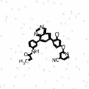 C=CC(=O)Nc1cccc(-c2cc(-c3ccc(Oc4cc(C#N)ccn4)cc3Cl)cc3cncnc23)c1